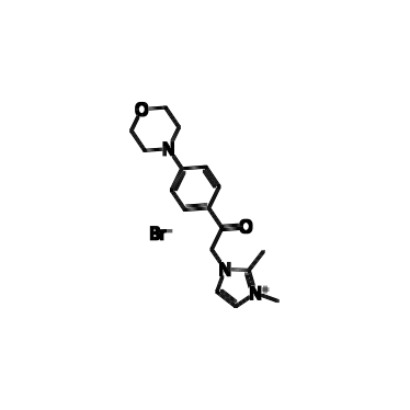 Cc1n(CC(=O)c2ccc(N3CCOCC3)cc2)cc[n+]1C.[Br-]